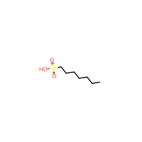 [CH2]CCCCCCS(=O)(=O)O